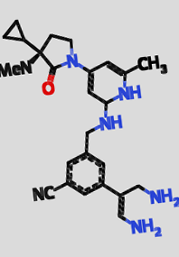 CN[C@@]1(C2CC2)CCN(C2=CC(NCc3cc(C#N)cc(/C(=C/N)CN)c3)NC(C)=C2)C1=O